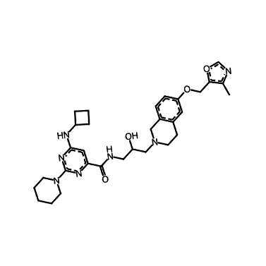 Cc1ncoc1COc1ccc2c(c1)CCN(CC(O)CNC(=O)c1cc(NC3CCC3)nc(N3CCCCC3)n1)C2